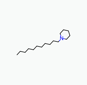 CCCCCCCCCCCN1CCCCC1